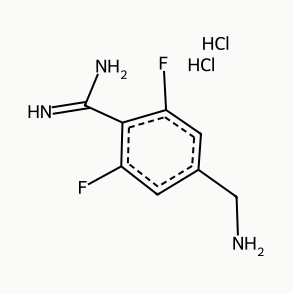 Cl.Cl.N=C(N)c1c(F)cc(CN)cc1F